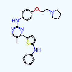 Cc1cnc(Nc2ccc(OCCN3CCCC3)cc2)nc1-c1ccc(Nc2ccccc2)s1